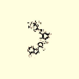 Cc1ncnc2c1ccn2[C@H]1C[C@@H](Oc2ccc(F)cc2CNC(=O)OC(C)(C)C)[C@H](O)[C@@H]1O